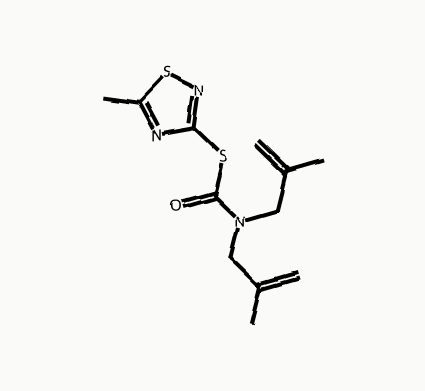 C=C(C)CN(CC(=C)C)C(=O)Sc1nsc(C)n1